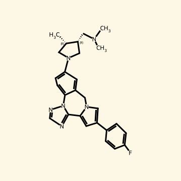 C[C@H]1CN(c2ccc3c(c2)Cn2cc(-c4ccc(F)cc4)cc2-c2ncnn2-3)C[C@H]1CN(C)C